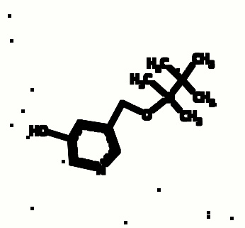 CC(C)(C)[Si](C)(C)OCc1cncc(O)c1